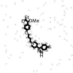 CCC(=O)C(OC)c1ccc(OCCCCN2CCC(c3n[nH]c4cc(F)ccc34)CC2)cc1